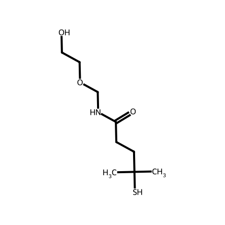 CC(C)(S)CCC(=O)NCOCCO